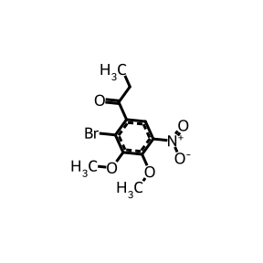 CCC(=O)c1cc([N+](=O)[O-])c(OC)c(OC)c1Br